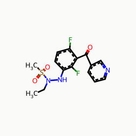 CCN(Nc1ccc(F)c(C(=O)c2cccnc2)c1F)S(C)(=O)=O